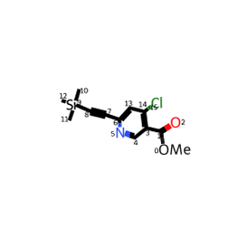 COC(=O)c1cnc(C#C[Si](C)(C)C)cc1Cl